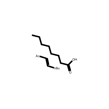 CCCCC=CC(C)=O.CCCCCCCC(=O)O